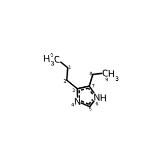 CCCc1nc[nH]c1CC